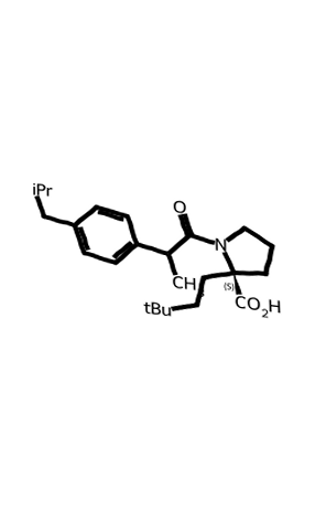 CC(C)Cc1ccc(C(C)C(=O)N2CCC[C@@]2(CCC(C)(C)C)C(=O)O)cc1